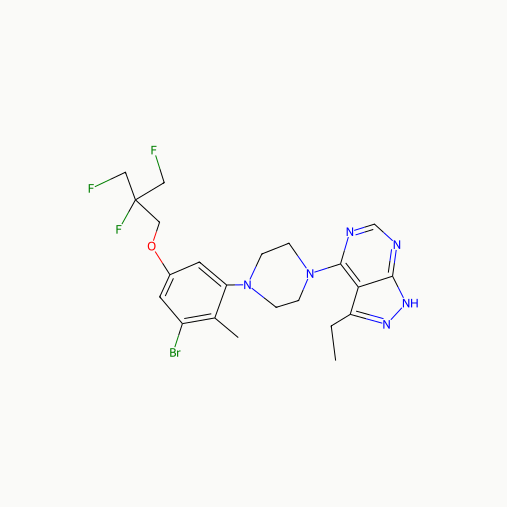 CCc1n[nH]c2ncnc(N3CCN(c4cc(OCC(F)(CF)CF)cc(Br)c4C)CC3)c12